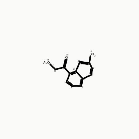 Bc1ccc2cccc(C(=O)COC(C)=O)c2c1